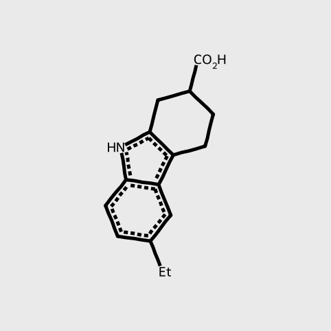 CCc1ccc2[nH]c3c(c2c1)CCC(C(=O)O)C3